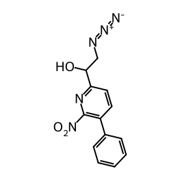 [N-]=[N+]=NCC(O)c1ccc(-c2ccccc2)c([N+](=O)[O-])n1